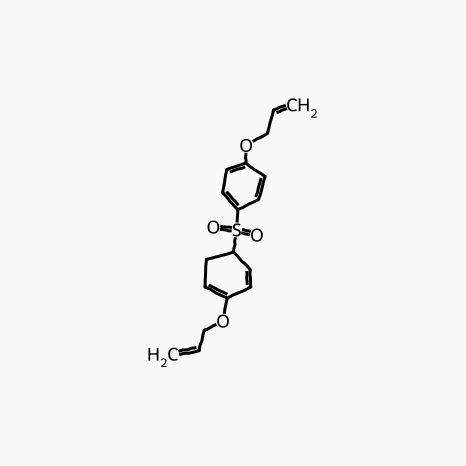 C=CCOC1=CCC(S(=O)(=O)c2ccc(OCC=C)cc2)C=C1